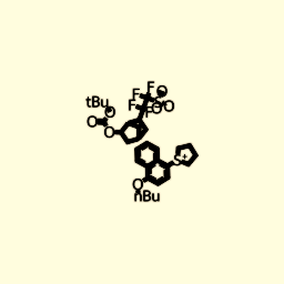 CC(C)(C)OC(=O)OC1CC2CC1C(C(F)(F)C(F)(F)S(=O)(=O)[O-])C2.CCCCOc1ccc([S+]2CCCC2)c2ccccc12